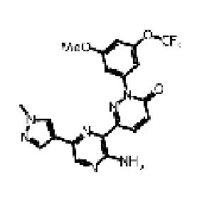 COc1cc(OC(F)(F)F)cc(-n2nc(-c3nc(-c4cnn(C)c4)cnc3N)ccc2=O)c1